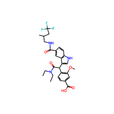 CCN(CC)C(=O)C(c1ccc(C(=O)O)cc1OC)c1c[nH]c2ccc(C(=O)NCC(C)CC(F)(F)F)cc12